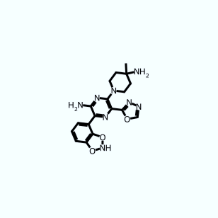 CC1(N)CCN(c2nc(N)c(-c3cccc4c3ONO4)nc2-c2nnco2)CC1